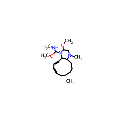 CNC(OC)N1C(OC)CN(C)C2CCC[C@H](C)C/C=C\C=C\C21